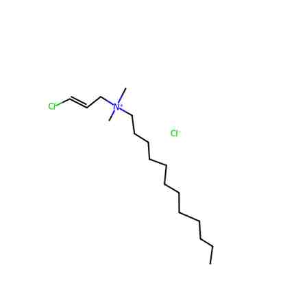 CCCCCCCCCCCC[N+](C)(C)C/C=C/Cl.[Cl-]